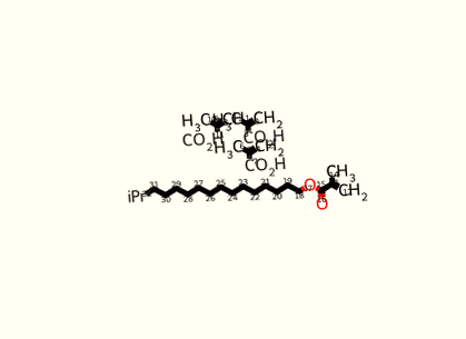 C=C(C)C(=O)O.C=C(C)C(=O)O.C=C(C)C(=O)O.C=C(C)C(=O)OCCCCCCCCCCCCCCC(C)C